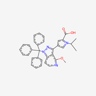 COc1nccc2c1c(-c1cc(C(=O)O)n(C(C)C)c1)nn2C(c1ccccc1)(c1ccccc1)c1ccccc1